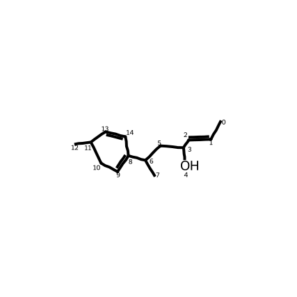 CC=CC(O)CC(C)C1=CCC(C)C=C1